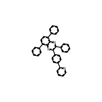 c1ccc(-c2nc3c(-c4ccccc4)ccc(-c4ccccc4)c3nc2-c2ccc(-c3ccccn3)cc2)cc1